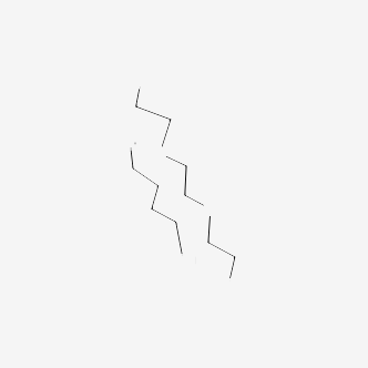 OCCCCO.OCCOCCOCCO